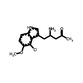 COc1ccc2[nH]cc(CC(N)CC(C)=O)c2c1Cl